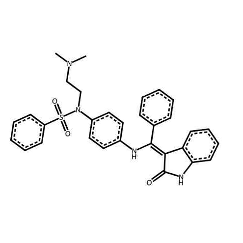 CN(C)CCN(c1ccc(N/C(=C2\C(=O)Nc3ccccc32)c2ccccc2)cc1)S(=O)(=O)c1ccccc1